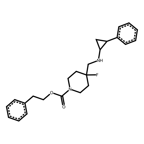 O=C(OCCc1ccccc1)N1CCC(F)(CNC2CC2c2ccccc2)CC1